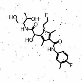 Cc1cc(NC(=O)c2c(C)c(C(O)C(=O)N[C@H](CO)[C@@H](C)O)n(CCF)c2C)ccc1F